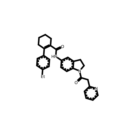 CCc1ccc(C2=C(C(=O)Nc3ccc4c(c3)CCN4C(=O)Cc3ccccn3)CCCC2)cc1